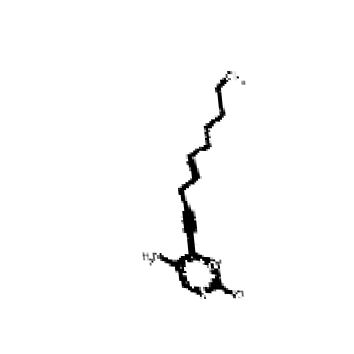 CCCCCC=CCC#Cc1nc(Cl)ncc1N